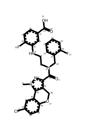 Cn1nc(C(=O)N(CCNc2cc(C(=O)O)ccc2F)Cc2ccccc2F)c2c1-c1cc(Cl)ccc1OC2